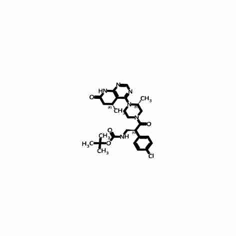 C[C@@H]1CC(=O)Nc2ncnc(N3CCN(C(=O)[C@H](CNC(=O)OC(C)(C)C)c4ccc(Cl)cc4)C[C@H]3C)c21